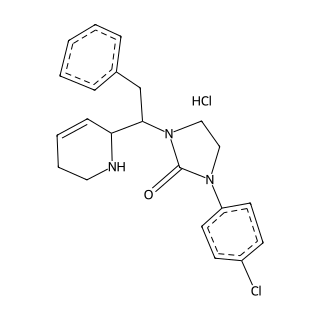 Cl.O=C1N(c2ccc(Cl)cc2)CCN1C(Cc1ccccc1)C1C=CCCN1